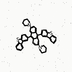 c1ccc2c(c1)sc1ccc(-c3c4ccc(N5CCCCC5)cc4c(-c4ccc5sc6ccccc6c5c4)c4ccc(N5CCCCC5)cc34)cc12